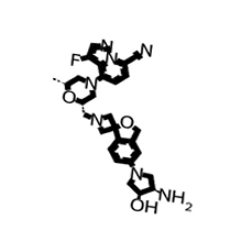 C[C@@H]1CN(c2ccc(C#N)n3ncc(F)c23)C[C@H](CN2CC3(C2)OCc2cc(N4C[C@H](N)[C@@H](O)C4)ccc23)O1